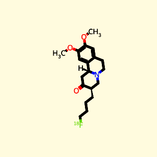 COc1cc2c(cc1OC)[C@H]1CC(=O)[C@H](CCCC[18F])CN1CC2